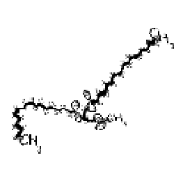 CCCCC/C=C\C/C=C\CCCCCCCC(=O)OC(COC(C)=O)COC(=O)CCCCCCCCCCCCCCCC